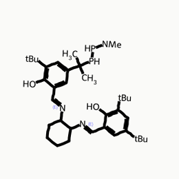 CNPPC(C)(C)c1cc(/C=N/C2CCCCC2/N=C/c2cc(C(C)(C)C)cc(C(C)(C)C)c2O)c(O)c(C(C)(C)C)c1